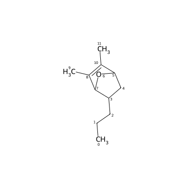 CCCC1CC2OC1C(C)=C2C